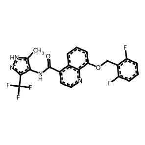 Cc1[nH]nc(C(F)(F)F)c1NC(=O)c1ccnc2c(OCc3c(F)cccc3F)cccc12